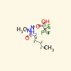 CCCCCC(=O)N(C)N.O=C(O)C(F)(F)F